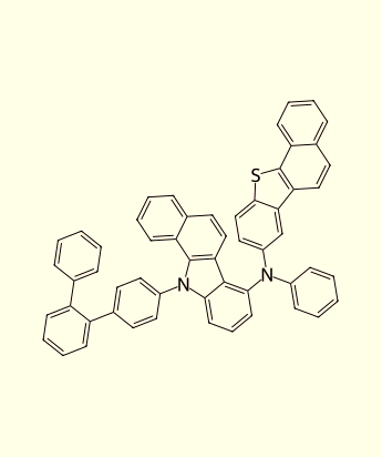 c1ccc(-c2ccccc2-c2ccc(-n3c4cccc(N(c5ccccc5)c5ccc6sc7c8ccccc8ccc7c6c5)c4c4ccc5ccccc5c43)cc2)cc1